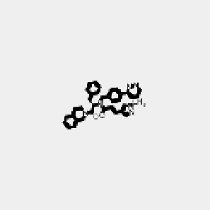 Cn1cc(C=CC(=O)N(Cc2ccc(-c3cccnn3)cc2)[C@@H](Cc2ccccc2)C(=O)N2CCc3ccccc3C2)cn1